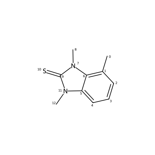 Cc1cccc2c1n(C)c(=S)n2C